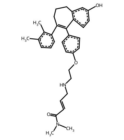 Cc1cccc(C2=C(c3ccc(OCCNC/C=C/C(=O)N(C)C)cc3)c3ccc(O)cc3CCC2)c1C